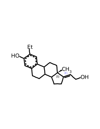 CCc1cc2c(cc1O)CCC1C2CC[C@]2(C)/C(=C/CO)CCC12